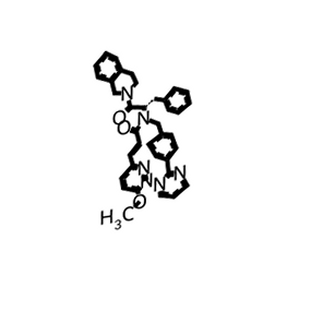 COc1ccc(/C=C/C(=O)N(Cc2ccc(-c3ncccn3)cc2)[C@@H](Cc2ccccc2)C(=O)N2CCc3ccccc3C2)nn1